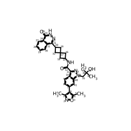 Cc1noc(C)c1-c1ccc2c(C(=O)NC3CC4(C3)CC(c3n[nH]c(=O)c5ccccc35)C4)nn(CC(C)(C)O)c2c1